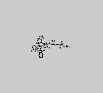 CCCCCCCC(=O)NCCCC[C@H](NC(=O)[C@H](Cc1c[nH]c2ccccc12)NC(=O)[C@H](CC(N)=O)NC(=O)[C@@H]1CCC(=O)N1)C(=O)O